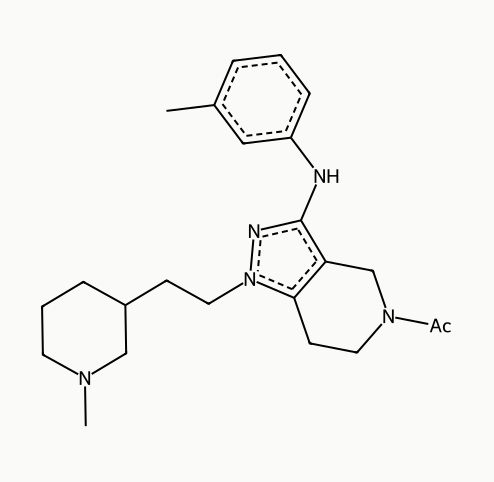 CC(=O)N1CCc2c(c(Nc3cccc(C)c3)nn2CCC2CCCN(C)C2)C1